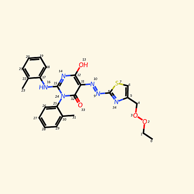 CCOOCc1csc(N=Nc2c(O)nc(Nc3ccccc3C)n(-c3ccccc3C)c2=O)n1